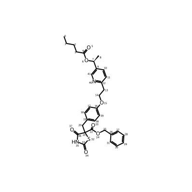 CCCCC(=O)O[C@@H](C)c1ccc(CCOc2ccc(CC3(C(=O)OCc4ccccc4)SC(=O)NC3=O)cc2)nc1